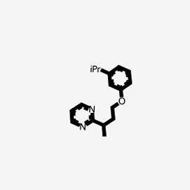 CC(C)c1cccc(OCCC(C)c2ncccn2)c1